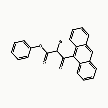 O=C(Oc1ccccc1)C(Br)C(=O)c1c2ccccc2cc2ccccc12